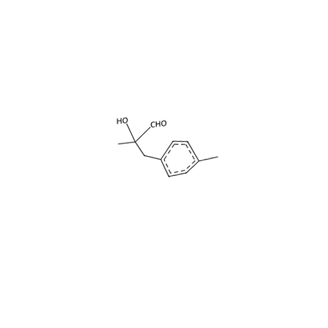 Cc1ccc(CC(C)(O)C=O)cc1